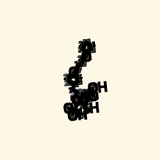 CCC(C(=O)O)c1ccc(/C=C/c2ccc(OCCCCOc3ccccc3)cc2)c2c1c(S)cn2CC(=O)O